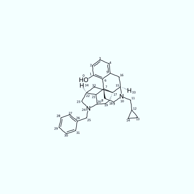 Oc1cccc2c1[C@]13CCN(CC4CC4)[C@H](C2)[C@]12CCC1C3[C@@H](CN1Cc1ccccc1)C2